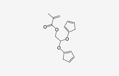 C=C(C)C(=O)OCC(OC1=CC=CC1)OC1=CC=CC1